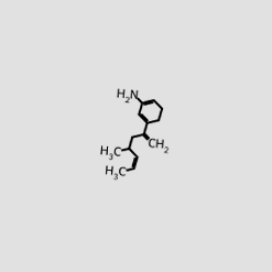 C=C(CC(C)/C=C\C)C1=CC(N)=CCC1